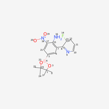 CC1(C)OB(c2cc(-c3ncccc3F)c(N)c([N+](=O)[O-])c2)OC1(C)C